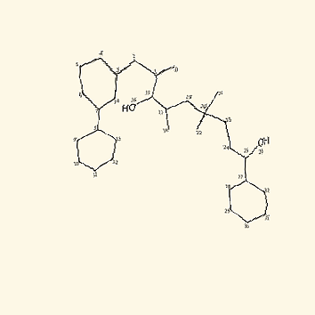 CC(CC1CCCC(C2CCCCC2)C1)C(O)C(C)CC(C)(C)CCC(O)C1CCCCC1